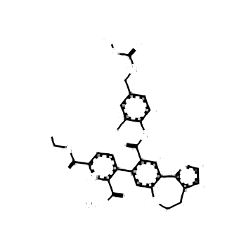 COC(=O)c1nc(C(=O)NCC(C)C)ccc1-c1cc2c(cc1C(=O)Nc1ccc(CNC(=O)OC(C)(C)C)cc1C)-c1sccc1CCO2